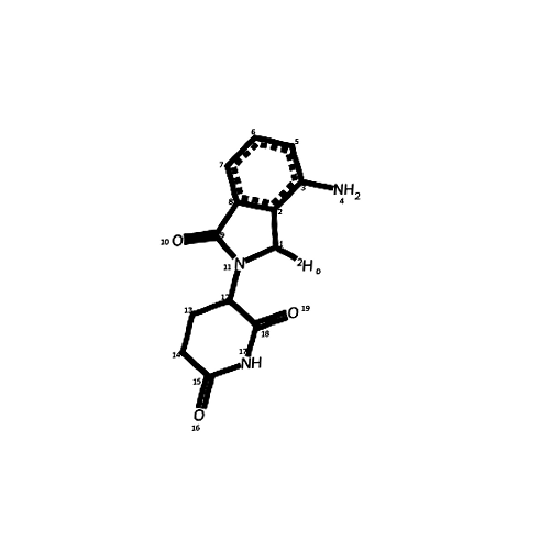 [2H]C1c2c(N)cccc2C(=O)N1C1CCC(=O)NC1=O